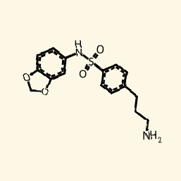 NCCCc1ccc(S(=O)(=O)Nc2ccc3c(c2)OCO3)cc1